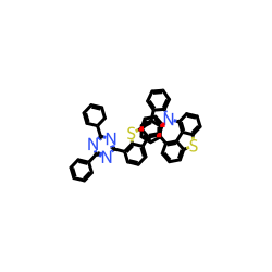 C1=CCC(c2nc(-c3ccccc3)nc(-c3cccc4c3sc3cccc(-c5cccc6sc7cccc(-n8c9ccccc9c9ccccc98)c7c56)c34)n2)C=C1